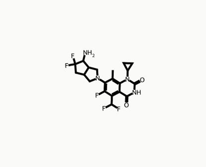 Cc1c(N2CC3CC(F)(F)C(N)C3C2)c(F)c(C(F)F)c2c(=O)[nH]c(=O)n(C3CC3)c12